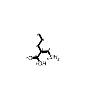 CCCC(=C[SiH3])C(=O)O